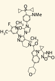 CNc1cc(N2C=CN(c3c4c(nn3-c3cc(C)c(F)c(C)c3)CCN(C(=O)c3cc5cc(C6CCOCC6)ccc5n3C3(c5noc(=O)[nH]5)CC3)[C@H]4C)C2O)ccc1P(=O)(C1CC1)C1CC1